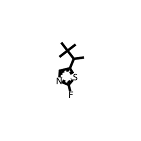 CC(c1cnc(F)s1)C(C)(C)C